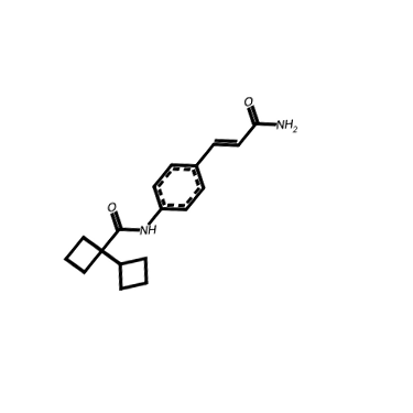 NC(=O)/C=C/c1ccc(NC(=O)C2(C3CCC3)CCC2)cc1